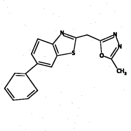 Cc1nnc(Cc2nc3ccc(-c4ccccc4)cc3s2)o1